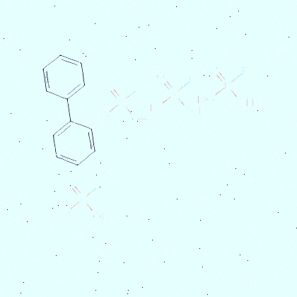 O=P(O)(O)F.O=P(O)(O)F.O=P(O)(O)F.O=P(O)(O)F.S.c1ccc(-c2ccccc2)cc1